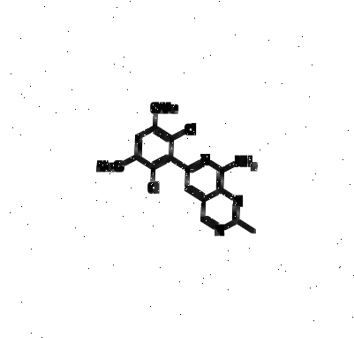 COc1cc(OC)c(Cl)c(-c2cc3cnc(C)nc3c(N)n2)c1Cl